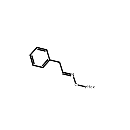 CCCCCCON=CCc1cc[c]cc1